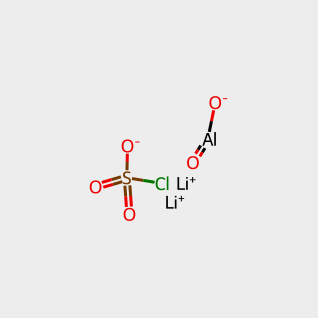 O=S(=O)([O-])Cl.[Li+].[Li+].[O]=[Al][O-]